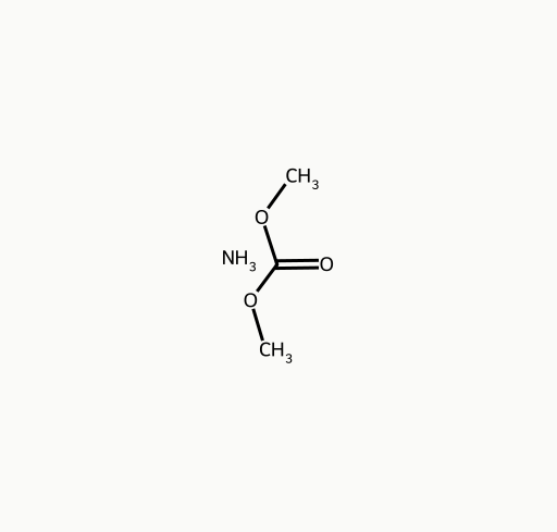 COC(=O)OC.N